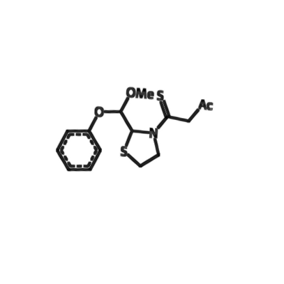 COC(Oc1ccccc1)C1SCCN1C(=S)CC(C)=O